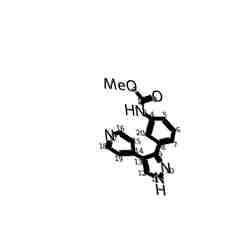 COC(=O)Nc1cccc(-c2n[nH]cc2-c2ccncc2)c1